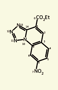 CCOC(=O)c1cc2ccc([N+](=O)[O-])cc2n2nnnc12